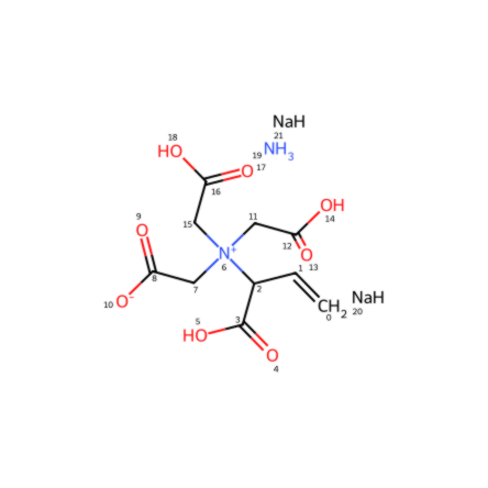 C=CC(C(=O)O)[N+](CC(=O)[O-])(CC(=O)O)CC(=O)O.N.[NaH].[NaH]